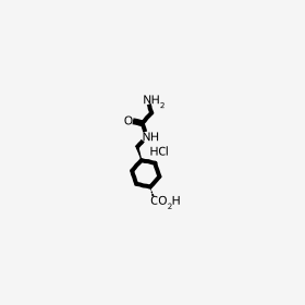 Cl.NCC(=O)NC[C@H]1CC[C@H](C(=O)O)CC1